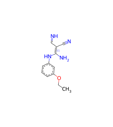 CCOc1cccc(N/C(N)=C(/C#N)C=N)c1